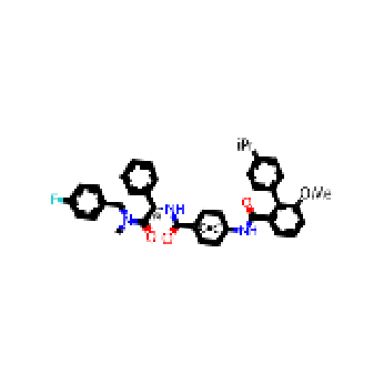 COc1cccc(C(=O)NC23CCC(C(=O)N[C@H](C(=O)N(C)Cc4ccc(F)cc4)c4ccccc4)(CC2)CC3)c1-c1ccc(C(C)C)cc1